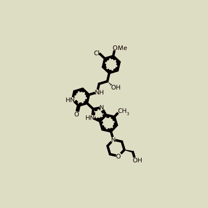 COc1ccc([C@H](O)CNc2cc[nH]c(=O)c2-c2nc3c(C)cc(N4CCO[C@H](CO)C4)cc3[nH]2)cc1Cl